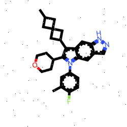 Cc1cc(-n2c(C3CCOCC3)c(C3CC4(CC(C)C4)C3)c3cc4[nH]ncc4cc32)ccc1F